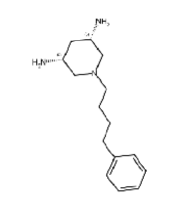 N[C@@H]1C[C@H](N)CN(CCCCc2ccccc2)C1